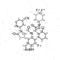 N#Cc1ccnc(N2C(=O)CC[C@H]2C(=O)N(c2cc(F)c3[nH]ncc3c2)[C@H](C(=O)NC2CCC(F)(F)CC2)c2ccccc2Cl)c1